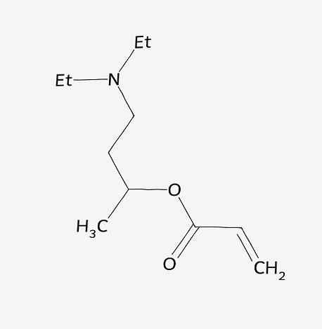 C=CC(=O)OC(C)CCN(CC)CC